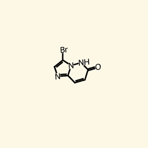 O=c1ccc2ncc(Br)n2[nH]1